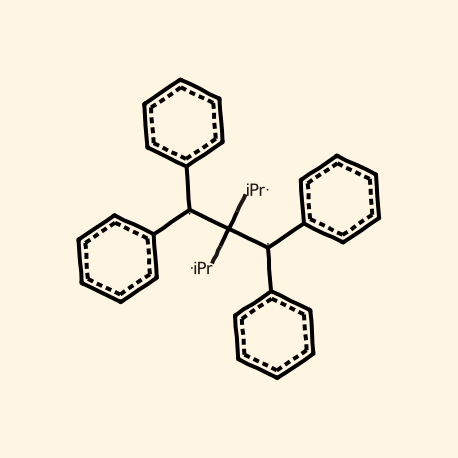 C[C](C)C([C](C)C)([C](c1ccccc1)c1ccccc1)[C](c1ccccc1)c1ccccc1